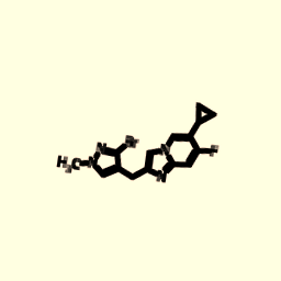 Cn1cc(Cc2cn3cc(C4CC4)c(F)cc3n2)c(Br)n1